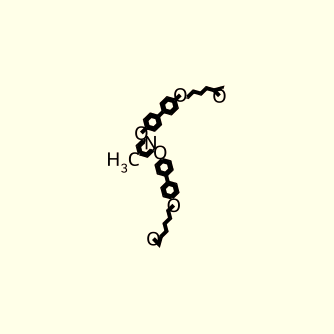 Cc1cc(Oc2ccc(-c3ccc(OCCCCC4CO4)cc3)cc2)nc(Oc2ccc(-c3ccc(OCCCCC4CO4)cc3)cc2)c1